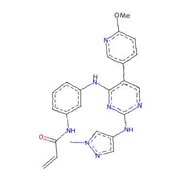 C=CC(=O)Nc1cccc(Nc2nc(Nc3cnn(C)c3)ncc2-c2ccc(OC)nc2)c1